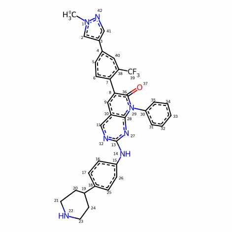 Cn1cc(-c2ccc(-c3cc4cnc(Nc5ccc(C6CCNCC6)cc5)nc4n(-c4ccccc4)c3=O)c(C(F)(F)F)c2)cn1